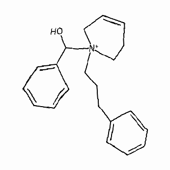 OC(c1ccccc1)[N+]1(CCCc2ccccc2)CC=CCC1